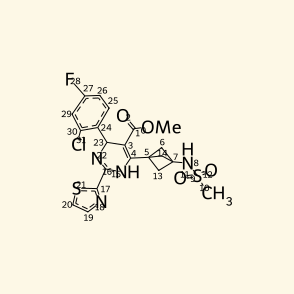 COC(=O)C1=C(C23CC(NS(C)(=O)=O)(C2)C3)NC(c2nccs2)=NC1c1ccc(F)cc1Cl